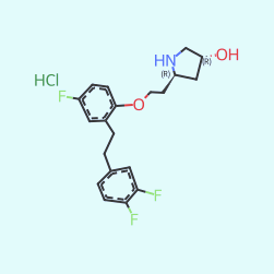 Cl.O[C@H]1CN[C@H](CCOc2ccc(F)cc2CCc2ccc(F)c(F)c2)C1